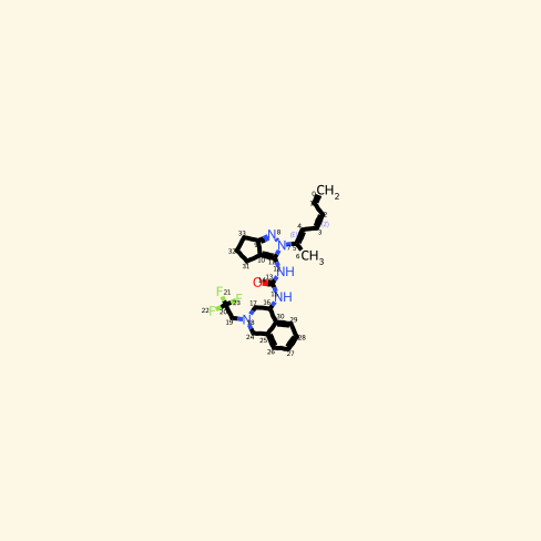 C=C/C=C\C=C(/C)n1nc2c(c1NC(=O)NC1CN(CC(F)(F)F)Cc3ccccc31)CCC2